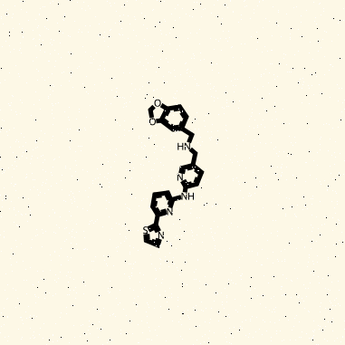 c1cc(Nc2ccc(CNCc3ccc4c(c3)OCO4)cn2)nc(-c2nccs2)c1